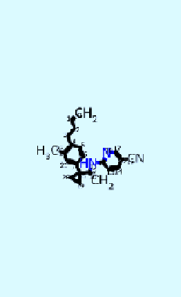 C=CCCc1ccc(C2(C(=C)Nc3ccc(C#N)cn3)CC2)cc1C